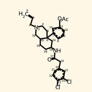 C=CCN1CCC2(c3cccc(OC(C)=O)c3)CC(NC(=O)Cc3ccc(Cl)c(Cl)c3)CCC2C1